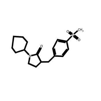 CS(=O)(=O)c1ccc(CC2CCN(C3CCCCC3)C2=O)cc1